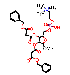 COC1OC(COP(=O)(O)OCC[N+](C)(C)C)C(OC(=O)CC(=O)OCc2ccccc2)C1OC(=O)CC(=O)OCc1ccccc1